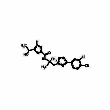 CC(O)c1cc(C(=O)NC(C)(C)Cn2ccc(-c3ccc(C#N)c(Cl)c3)n2)n[nH]1